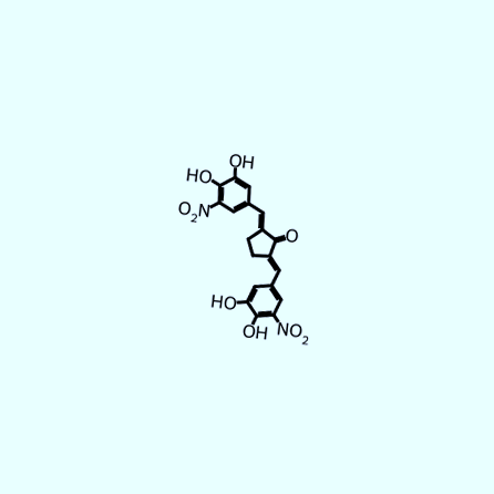 O=C1C(=Cc2cc(O)c(O)c([N+](=O)[O-])c2)CCC1=Cc1cc(O)c(O)c([N+](=O)[O-])c1